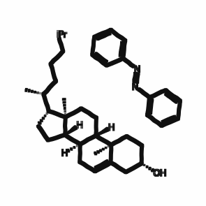 CC(C)CCC[C@@H](C)[C@H]1CC[C@H]2[C@@H]3CC=C4C[C@@H](O)CC[C@]4(C)[C@H]3CC[C@]12C.c1ccc(N=Nc2ccccc2)cc1